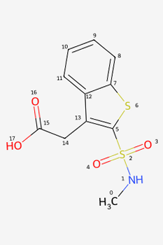 CNS(=O)(=O)c1sc2ccccc2c1CC(=O)O